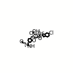 CN(CC=O)C(=N)c1ccc(CN2C(=O)CN(S(=O)(=O)c3cc4ccc(Cl)cc4s3)C[C@@H]2C(=O)O)cc1